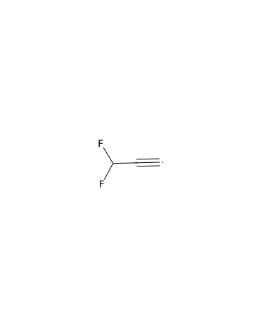 [C]#CC(F)F